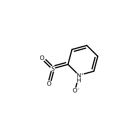 O=S(=O)=C1C=CC=C[NH+]1[O-]